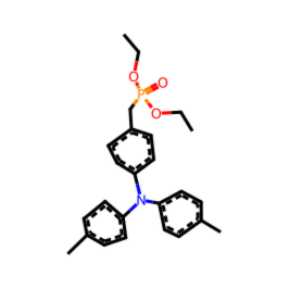 CCOP(=O)(Cc1ccc(N(c2ccc(C)cc2)c2ccc(C)cc2)cc1)OCC